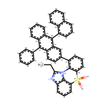 CCc1nc2cccc3c2n1-c1c(-c2ccc4c(-c5ccccc5)c5ccccc5c(-c5cccc6ccccc56)c4c2)cccc1S3(=O)=O